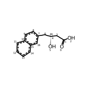 O=C(O)C[C@H](O)Cc1ccc2ccccc2c1